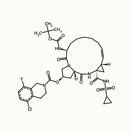 CC(C)(C)OC(=O)N[C@H]1CCCCC/C=C\[C@@H]2C[C@@]2(C(=O)NS(=O)(=O)C2CC2)NC(=O)[C@@H]2C[C@@H](OC(=O)N3CCc4c(Cl)ccc(F)c4C3)CN2C1=O